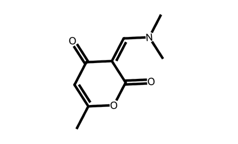 CC1=CC(=O)/C(=C/N(C)C)C(=O)O1